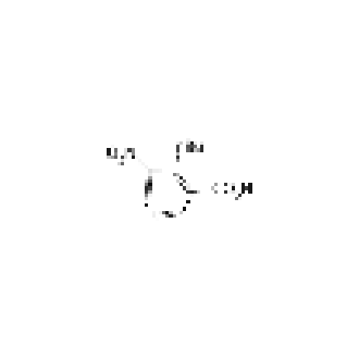 CCCCc1c(C(=O)O)cccc1[N+](=O)[O-]